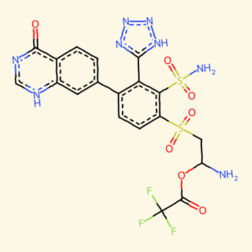 NC(CS(=O)(=O)c1ccc(-c2ccc3c(=O)nc[nH]c3c2)c(-c2nnn[nH]2)c1S(N)(=O)=O)OC(=O)C(F)(F)F